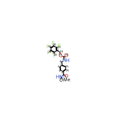 CONC(=O)c1ccc(CNC(=O)OCc2c(F)c(F)c(F)c(F)c2F)cc1